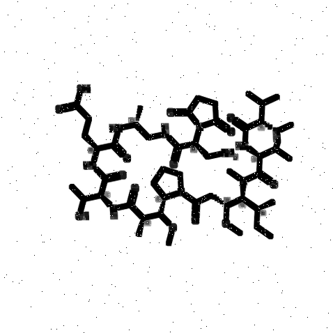 CC[C@H](C)[C@@H]([C@@H](CC(=O)N1CCC[C@H]1C(OC)[C@@H](C)C(=O)N[C@H](C(=O)N[C@@H](CCC(=O)O)C(=O)N[C@H](C)CNC(=O)[C@H](CN)N1C(=O)CCC1=O)C(C)O)OC)N(C)C(=O)[C@@H](NC(=O)[C@@H](NC)C(C)C)C(C)C